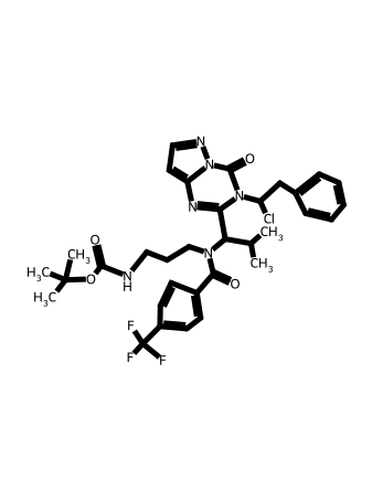 CC(C)C(c1nc2ccnn2c(=O)n1C(Cl)Cc1ccccc1)N(CCCNC(=O)OC(C)(C)C)C(=O)c1ccc(C(F)(F)F)cc1